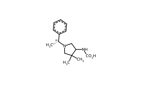 C[C@H](c1ccccc1)N1CC(NC(=O)O)C(C)(C)C1